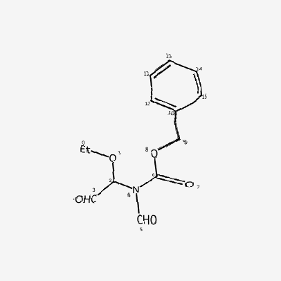 CCOC([C]=O)N(C=O)C(=O)OCc1ccccc1